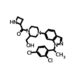 CC(c1ccc(Cl)cc1Cl)n1ncc2ccc(N3CCN(C(=O)C4CCN4)C(CO)C3)cc21